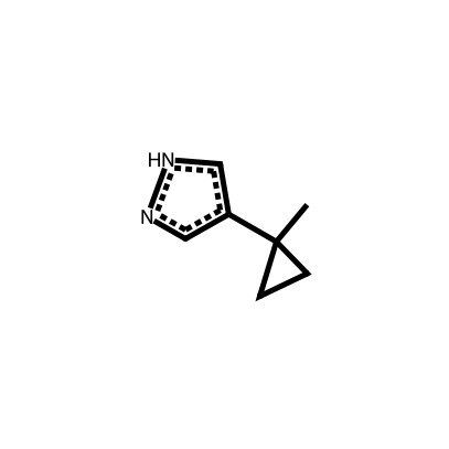 CC1(c2cn[nH]c2)CC1